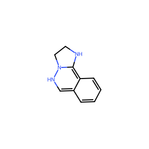 C1=c2ccccc2=C2NCCN2N1